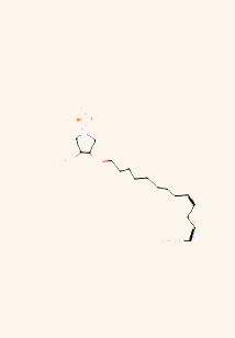 CCCCC/C=C\C/C=C\CCCCCCCCOC1CN(S(C)(=O)=O)CC1OCCCCCCCC